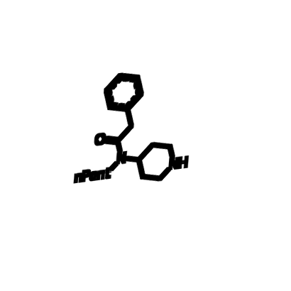 CCCCCN(C(=O)Cc1ccccc1)C1CCNCC1